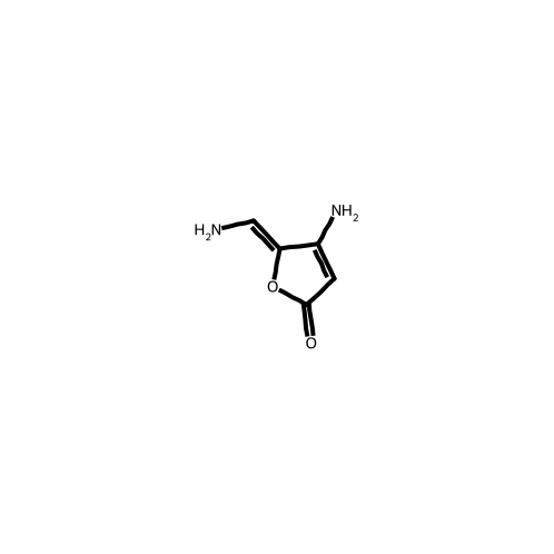 N/C=C1\OC(=O)C=C1N